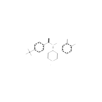 CN(C(=O)c1ccc(C(F)(F)F)cc1)[C@@H]1CCNC[C@H]1c1ccc(Cl)c(Cl)c1.Cl